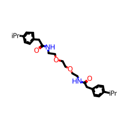 CC(C)c1ccc(CC(=O)NCCOCCOCCNC(=O)Cc2ccc(C(C)C)cc2)cc1